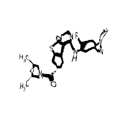 C[C@H]1CN(C(=O)[C@H]2CCc3c(sc4ncnc(Nc5cc6cn[nH]c6cc5F)c34)C2)C[C@H](C)O1